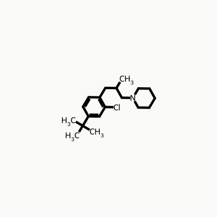 CC(Cc1ccc(C(C)(C)C)cc1Cl)CN1CCCCC1